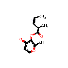 C/C=C\C(C)C(=O)Oc1c(C)occc1=O